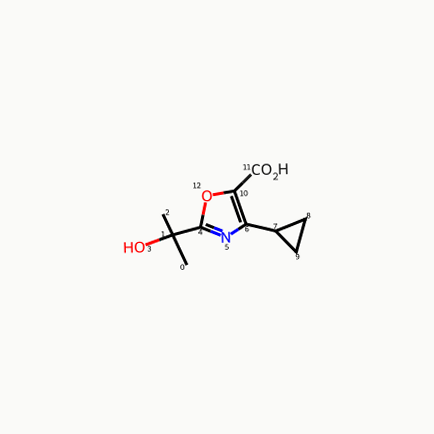 CC(C)(O)c1nc(C2CC2)c(C(=O)O)o1